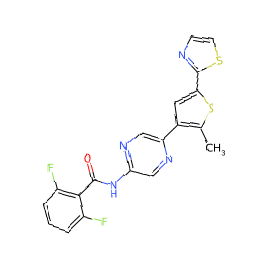 Cc1sc(-c2nccs2)cc1-c1cnc(NC(=O)c2c(F)cccc2F)cn1